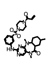 C=CC(=O)N1CCN(S(=O)(=O)c2cccc(Nc3ncc4c(n3)N(C)C3CCC(C)CC3C(=O)N4C)c2)CC1